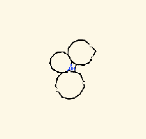 C1CCCCCCC(C2CCCCCCCCCC3CCCCCCCNC32)CCCCC1